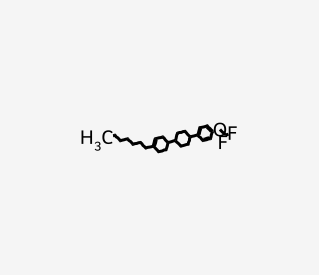 CCCCCCCC1=CCC(C2CCC(c3ccc(OC(F)F)cc3)CC2)CC1